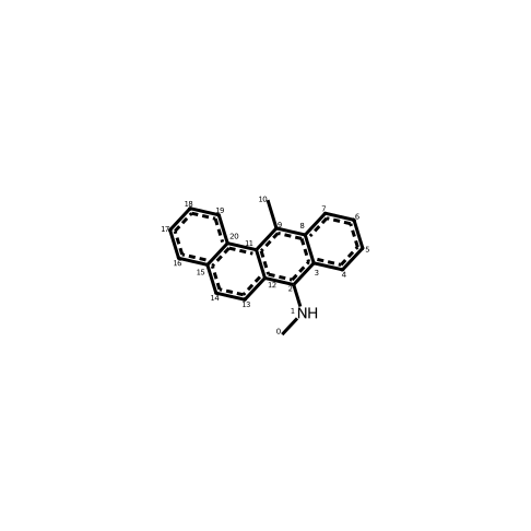 CNc1c2ccccc2c(C)c2c1ccc1ccccc12